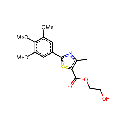 COc1cc(-c2nc(C)c(C(=O)OCCO)s2)cc(OC)c1OC